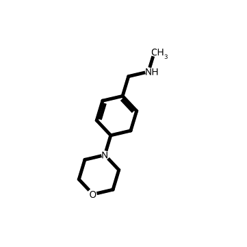 CNCC1=CCC(N2CCOCC2)C=C1